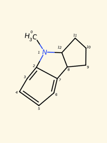 CN1c2ccccc2C2CCCC21